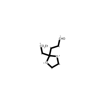 CCOC(=O)CC1(CCC=O)OCCO1